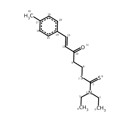 CCN(CC)C(=S)SCCC(=O)C=Cc1ccc(C)cc1